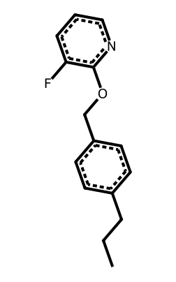 CCCc1ccc(COc2ncccc2F)cc1